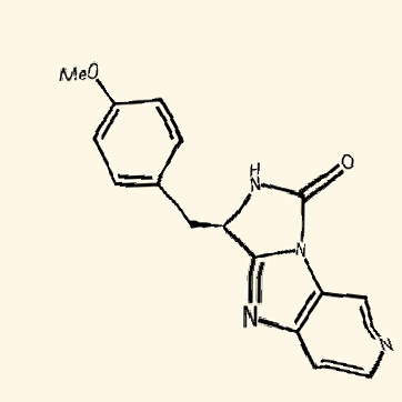 COc1ccc(C[C@H]2NC(=O)n3c2nc2ccncc23)cc1